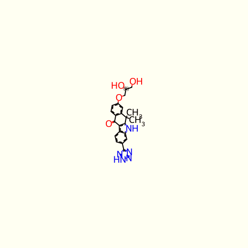 CC1(C)c2cc(OC[C@H](O)CO)ccc2C(=O)c2c1[nH]c1cc(-c3nn[nH]n3)ccc21